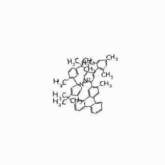 Cc1cc(C)c(-c2cc[n+](-[n+]3ccc(C(C)(C)C)cc3-c3cc(C(C)(C)C)ccc3C)c(-c3cc4c5ccccc5c5ccccc5c4cc3C)c2)c(C)c1